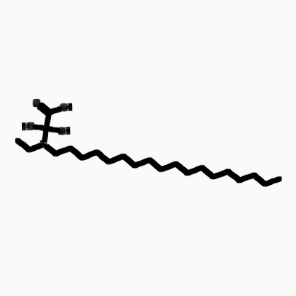 CCCCCCCCCCCCCCCCCCN(CC)C(O)(O)C(=O)O